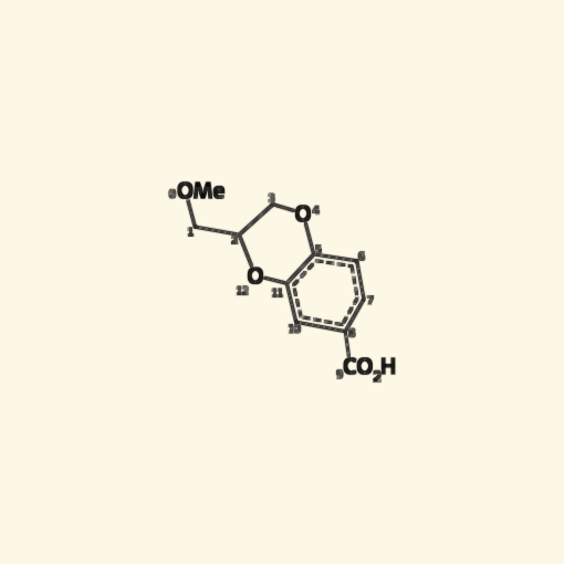 COCC1COc2ccc(C(=O)O)cc2O1